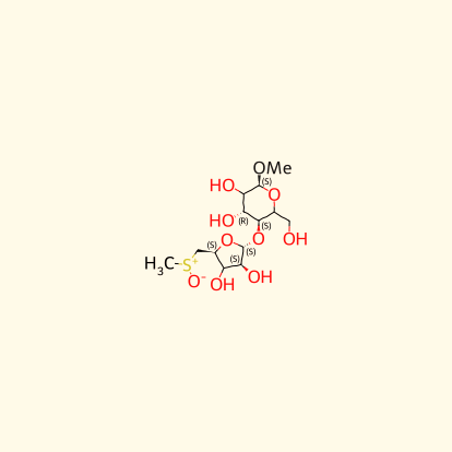 CO[C@H]1OC(CO)[C@@H](O[C@H]2O[C@H](C[S+](C)[O-])C(O)[C@@H]2O)[C@H](O)C1O